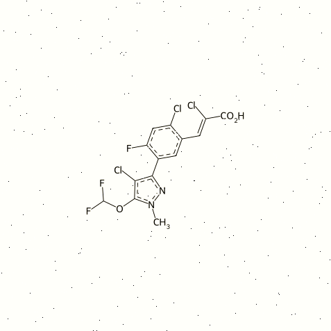 Cn1nc(-c2cc(/C=C(\Cl)C(=O)O)c(Cl)cc2F)c(Cl)c1OC(F)F